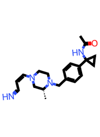 CC(=O)NC1(c2ccc(CN3CCN(/C=C\C=N)C[C@H]3C)cc2)CC1